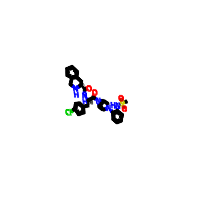 CS(=O)(=O)Nc1ccccc1N1CC2CC1CN2C(=O)[C@@H](Cc1ccc(Cl)cc1)NC(=O)[C@@H]1Cc2ccccc2CN1